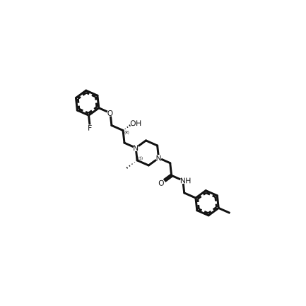 Cc1ccc(CNC(=O)CN2CCN(C[C@@H](O)COc3ccccc3F)[C@@H](C)C2)cc1